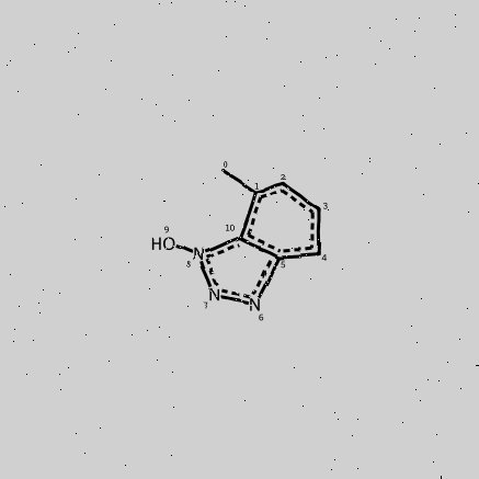 Cc1cccc2nnn(O)c12